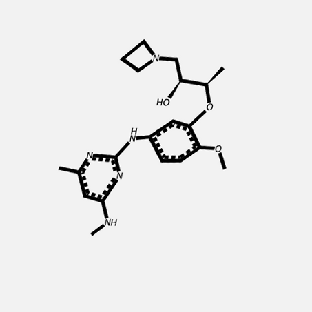 CNc1cc(C)nc(Nc2ccc(OC)c(O[C@H](C)[C@@H](O)CN3CCC3)c2)n1